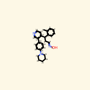 Cc1ccccc1C(CC=NO)c1ccncc1-c1ccc(N2CCCCC2)cc1